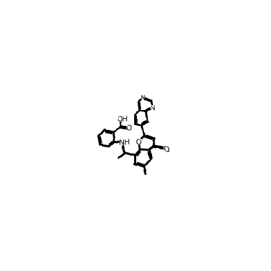 Cc1cc(C(C)Nc2ccccc2C(=O)O)c2oc(-c3ccc4cncnc4c3)cc(=O)c2c1